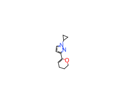 C1=C(c2ccn(C3CC3)n2)OCCC1